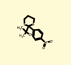 CC(C)(C)C1(c2ccc([N+](=O)[O-])cc2)SCCCS1